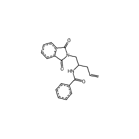 C=CCC(CN1C(=O)c2ccccc2C1=O)NC(=O)c1ccccc1